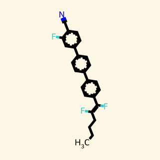 CCCCC(F)=C(F)c1ccc(-c2ccc(-c3ccc(C#N)c(F)c3)cc2)cc1